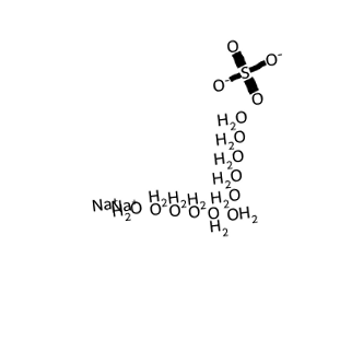 O.O.O.O.O.O.O.O.O.O.O.O=S(=O)([O-])[O-].[Na+].[Na+]